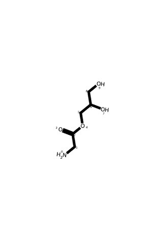 NCC(=O)OCC(O)CO